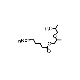 CCCCCCCCCCCCCC(=O)OCC(C)OCC(C)O